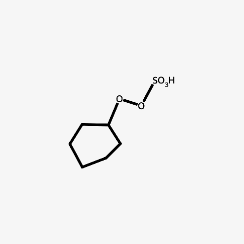 O=S(=O)(O)OOC1CCCCC1